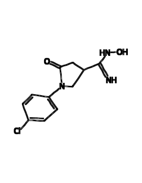 N=C(NO)C1CC(=O)N(c2ccc(Cl)cc2)C1